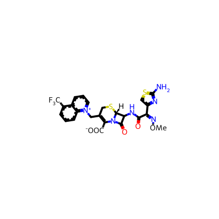 CO/N=C(\C(=O)NC1C(=O)N2C(C(=O)[O-])=C(C[n+]3cccc4c(C(F)(F)F)cccc43)CS[C@H]12)c1csc(N)n1